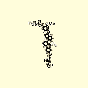 COc1nc(O[C@H]2CCc3c(-c4cccc(-c5ccc(OCCNCCO)cc5)c4C)cccc32)ccc1COC(=O)CN